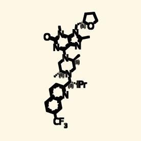 Cc1nc2c(N3C[C@@H](C)N([C@@H](c4ccc5ccc(C(F)(F)F)cc5n4)C(C)C)C[C@@H]3C)nc(=O)n(C)c2n1C[C@@H]1CCCO1